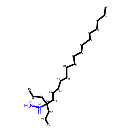 CCCCCCCCCCCCCCCCC(CCC)(CCC)NN